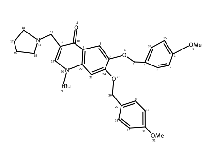 COc1ccc(COc2cc3c(=O)c(CN4CCCC4)cn(C(C)(C)C)c3cc2OCc2ccc(OC)cc2)cc1